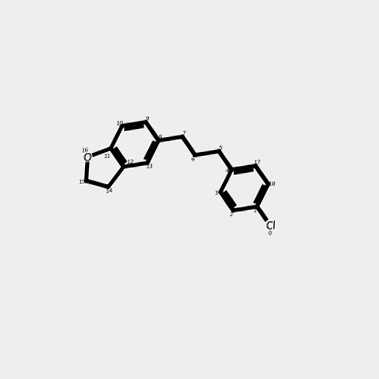 Clc1ccc(CCCc2ccc3c(c2)CCO3)cc1